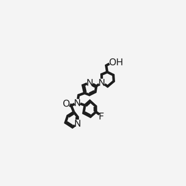 O=C(c1cccnc1)N(Cc1ccc(N2CCCC(CO)C2)nc1)c1ccc(F)cc1